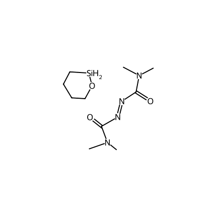 C1CC[SiH2]OC1.CN(C)C(=O)N=NC(=O)N(C)C